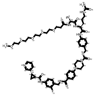 CC(C)[C@H](NC(=O)CCOCCOCCOCCOCCON)C(=O)N[C@@H](CCCNC(N)=O)C(=O)Nc1ccc(COC(=O)N2CCN(c3ccc(C(=O)NCc4ccc(NC(=O)[C@H]5C[C@@H]5c5cccnc5)cc4F)cc3)CC2)cc1